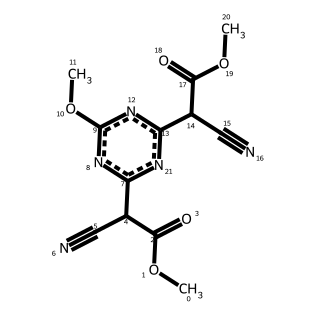 COC(=O)C(C#N)c1nc(OC)nc(C(C#N)C(=O)OC)n1